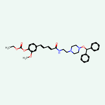 CCOC(=O)Oc1ccc(C=CC=CC(=O)NCCN2CCN(OC(c3ccccc3)c3ccccc3)CC2)cc1OC